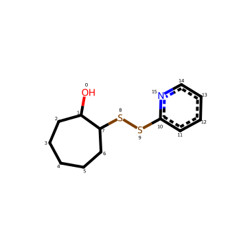 OC1CCCCCC1SSc1ccccn1